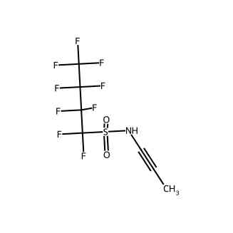 CC#CNS(=O)(=O)C(F)(F)C(F)(F)C(F)(F)C(F)(F)F